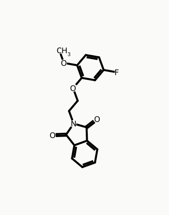 COc1ccc(F)cc1OCCN1C(=O)c2ccccc2C1=O